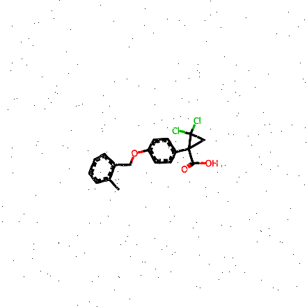 Cc1ccccc1COc1ccc(C2(C(=O)O)CC2(Cl)Cl)cc1